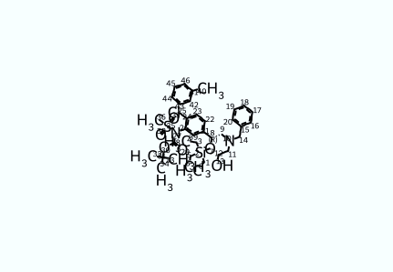 CC[Si](CC)(CC)O[C@@H](CN(CCO)Cc1ccccc1)c1ccc(Cl)c(N(C(=O)OC(C)(C)C)S(C)(=O)=O)c1.Cc1ccccc1